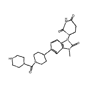 Cn1c(=O)n(C2CCC(=O)NC2=O)c2ccc(C3CCN(C(=O)C4CCNCC4)CC3)cc21